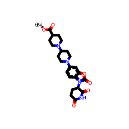 CC(C)(C)OC(=O)C1CCN(C2CCN(c3ccc4c(c3)oc(=O)n4C3CCC(=O)NC3=O)CC2)CC1